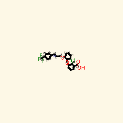 O=C(O)c1cccc(Oc2ccccc2OC/C=C/c2ccc(C(F)(F)F)cc2)c1Cl